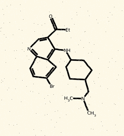 CCC(=O)c1cnc2ccc(Br)cc2c1NC1CCC(CN(C)C)CC1